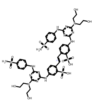 NS(=O)(=O)c1ccc(Nc2nc(Nc3ccc(/C=C/c4ccc(Nc5nc(Nc6ccc(S(N)(=O)=O)cc6)nc(N(CCO)CCO)n5)cc4S(=O)(=O)O)c(S(=O)(=O)O)c3)nc(N(CCO)CCO)n2)cc1